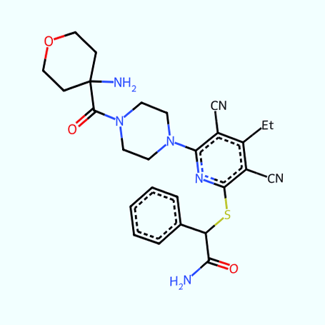 CCc1c(C#N)c(SC(C(N)=O)c2ccccc2)nc(N2CCN(C(=O)C3(N)CCOCC3)CC2)c1C#N